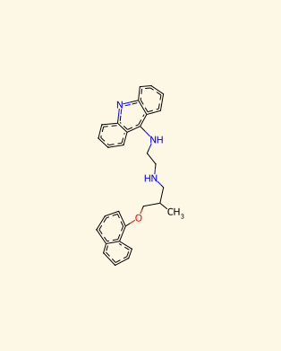 CC(CNCCNc1c2ccccc2nc2ccccc12)COc1cccc2ccccc12